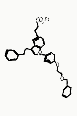 CCOC(=O)CCc1ccc2c(c1)c(CCc1ccccc1)cn2-c1ccc(OCCOCc2ccccc2)cc1